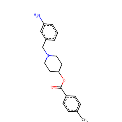 Cc1ccc(C(=O)OC2CCN(Cc3cccc(N)c3)CC2)cc1